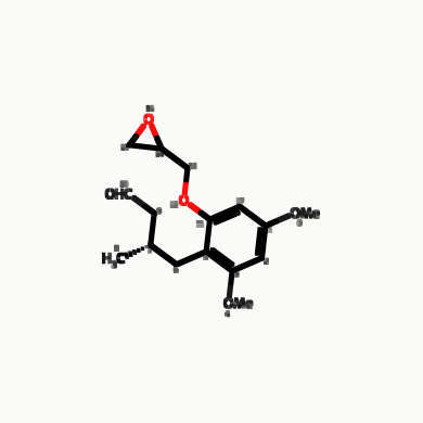 COc1cc(OC)c(C[C@H](C)CC=O)c(OCC2CO2)c1